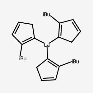 CCC(C)C1=[C]([La]([C]2=C(C(C)CC)C=CC2)[C]2=C(C(C)CC)C=CC2)CC=C1